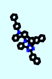 c1ccc(-c2ccc(-n3c4ccccc4c4c3ccc3c5ccccc5n(-c5ccccc5-c5nc(-c6ccc7ccccc7c6)nc(-c6ccc7ccccc7c6)n5)c34)cc2)cc1